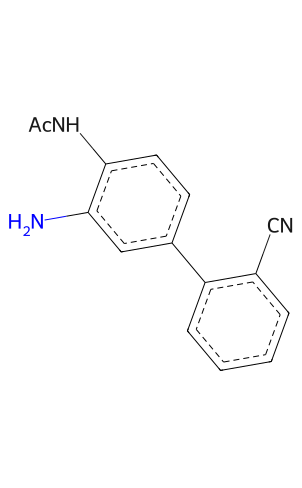 CC(=O)Nc1ccc(-c2ccccc2C#N)cc1N